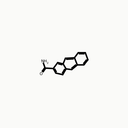 NC(=O)c1ccc2cc3[c]cccc3cc2c1